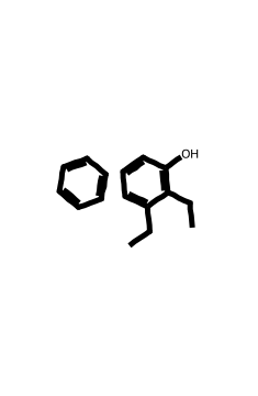 CCc1cccc(O)c1CC.c1ccccc1